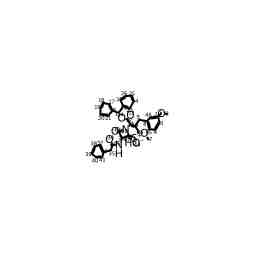 COc1ccc(OC)c(CC2=C(C(=O)OC(c3ccccc3)c3ccccc3)N3C(=O)C(NC(=O)Cc4ccccc4)[C@@H]3[S+]([O-])C2)c1